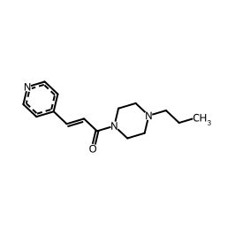 CCCN1CCN(C(=O)C=Cc2ccncc2)CC1